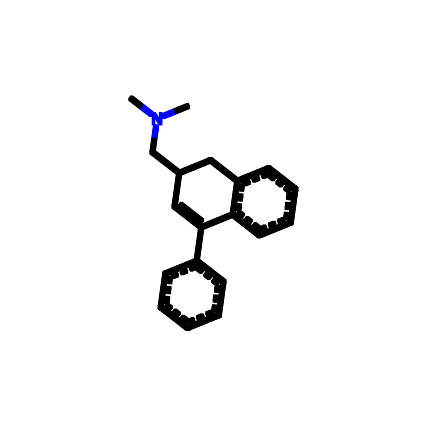 CN(C)CC1C=C(c2ccccc2)c2ccccc2C1